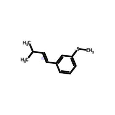 CSc1cccc(/C=C/C(C)C)c1